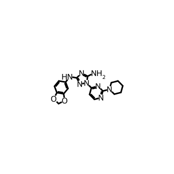 Nc1nc(Nc2ccc3c(c2)OCO3)nn1-c1ccnc(N2CCCCC2)n1